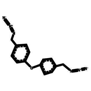 [N-]=[N+]=NCc1ccc(Oc2ccc(CN=[N+]=[N-])cc2)cc1